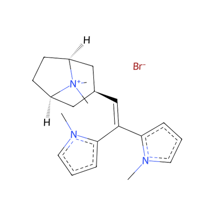 Cn1cccc1C(=C[C@H]1C[C@H]2CC[C@@H](C1)[N+]2(C)C)c1cccn1C.[Br-]